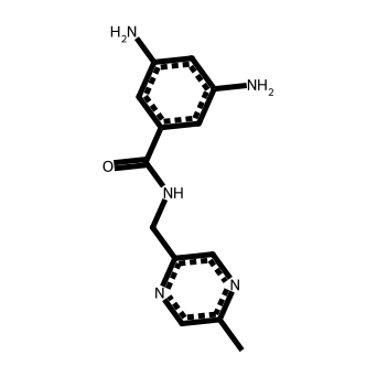 Cc1cnc(CNC(=O)c2cc(N)cc(N)c2)cn1